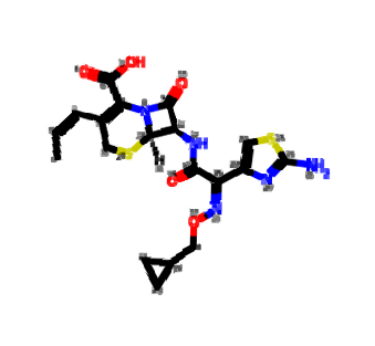 C/C=C\C1=C(C(=O)O)N2C(=O)[C@@H](NC(=O)/C(=N\OCC3CC3)c3csc(N)n3)[C@H]2SC1